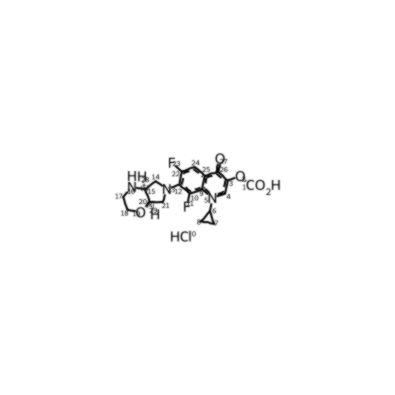 Cl.O=C(O)Oc1cn(C2CC2)c2c(F)c(N3C[C@@H]4NCCO[C@@H]4C3)c(F)cc2c1=O